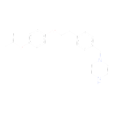 CC(C)Oc1ccc(OCCc2ccc(CN3CCNCC3)cc2)cc1